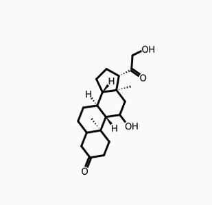 C[C@]12CC(O)[C@H]3[C@@H](CCC4CC(=O)CC[C@@]43C)[C@@H]1CC[C@@H]2C(=O)CO